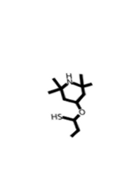 CCC(S)OC1CC(C)(C)NC(C)(C)C1